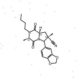 CCCCN1C(=O)[C@@H]2C[C@](C)(C#N)C(c3ccc4c(c3)OCO4)N2C(=O)[C@H]1C